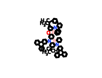 CC(C)(C)c1cc2c3c(c1)N(c1ccc4c5ccccc5c5ccccc5c4c1)c1cc4c(cc1B3c1ccccc1N2c1ccc2c3ccccc3c3ccccc3c2c1)B1c2ccccc2N2c3cc(cc(c31)O4)C(C)(C)c1ccc(cc1)-c1cccc(-c3ccccc3)c12